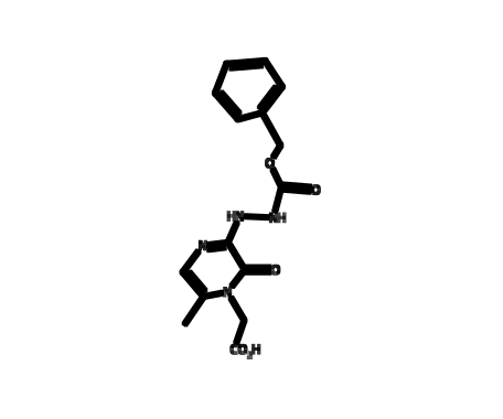 Cc1cnc(NNC(=O)OCc2ccccc2)c(=O)n1CC(=O)O